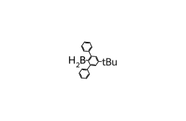 Bc1c(-c2ccccc2)cc(C(C)(C)C)cc1-c1ccccc1